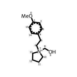 COc1ccc(CC[N+]2(CO)CCCC2)cc1